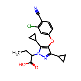 CCC(C(=O)O)n1nc(C2CC2)c(Oc2ccc(C#N)c(Cl)c2)c1C1CC1